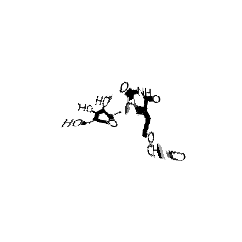 O=COC=Cc1cn([C@@H]2O[C@H](CO)[C@@H](O)[C@H]2O)c(=O)[nH]c1=O